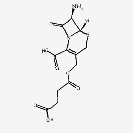 N[C@@H]1C(=O)N2C(C(=O)O)=C(COC(=O)CCC(=O)O)CS[C@@H]12